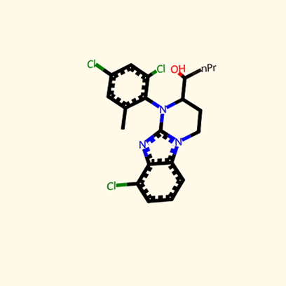 CCCC(O)C1CCn2c(nc3c(Cl)cccc32)N1c1c(C)cc(Cl)cc1Cl